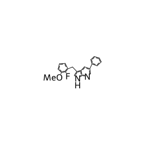 COc1cccc(Cc2c[nH]c3ncc(-c4ccccc4)cc23)c1F